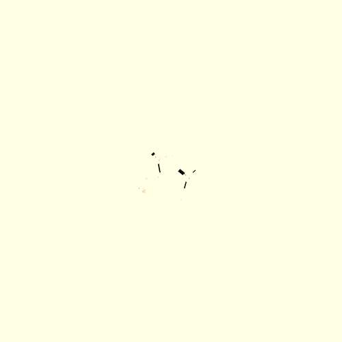 O=[N+]([O-])[O-].O=[N+]([O-])[O-].[KH].[Ni+2]